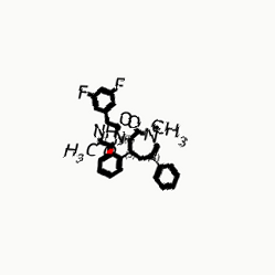 C[C@H](N)C(=O)N(C(=O)Cc1cc(F)cc(F)c1)[C@@H]1C(=O)N(C)C[C@H](c2ccccc2)C[C@H]1c1ccccc1